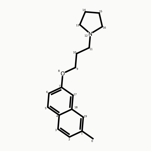 Cc1ccc2ccc(OCCCN3CCCC3)cc2c1